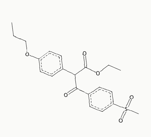 CCCOc1ccc(C(C(=O)OCC)C(=O)c2ccc(S(C)(=O)=O)cc2)cc1